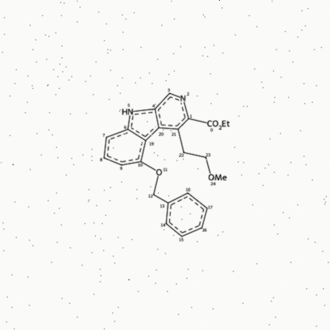 CCOC(=O)c1ncc2[nH]c3cccc(OCc4ccccc4)c3c2c1CCOC